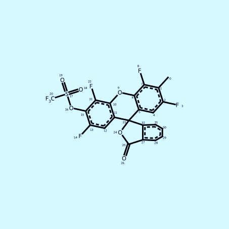 Cc1c(F)cc2c(c1F)Oc1c(cc(F)c(OS(=O)(=O)C(F)(F)F)c1F)C21OC(=O)c2ccccc21